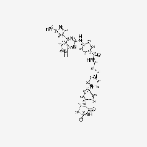 CCCn1cc(-c2nc(Nc3ccc(C(=O)NCCCN4CCN(c5ccc(C6CCC(=O)NC6=O)cc5)CC4)cc3)nc3[nH]ccc23)cn1